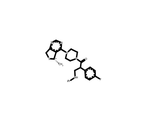 CC(C)NCC(C(=O)N1CCN(c2ncnc3c2[C@H](C)SC3)CC1)c1ccc(F)cc1